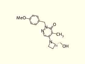 COc1ccc(Cn2ncc(N3CC[C@H]3CO)c(C)c2=O)cc1